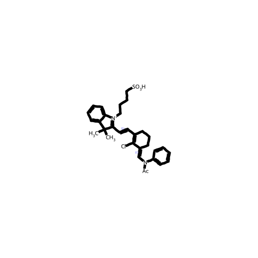 CC(=O)N(/C=C1\CCCC(/C=C/C2=[N+](CCCCS(=O)(=O)O)c3ccccc3C2(C)C)=C1Cl)c1ccccc1